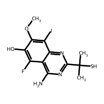 COc1c(O)c(F)c2c(N)nc(C(C)(C)S)nc2c1I